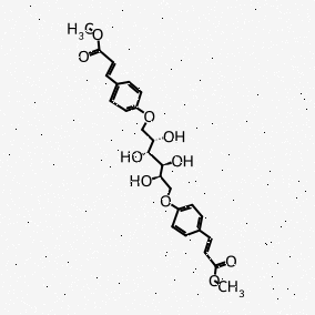 COC(=O)/C=C/c1ccc(OC[C@@H](O)[C@H](O)[C@H](O)[C@@H](O)COc2ccc(/C=C/C(=O)OC)cc2)cc1